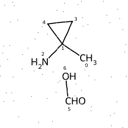 CC1(N)CC1.O=CO